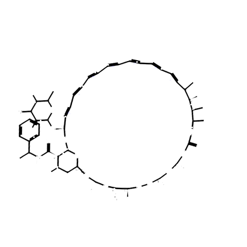 CC(NC(=O)[C@@H]1C(O)C[C@@]2(O)C[C@@H](O)C[C@@H](O)[C@H](O)CC[C@@H](O)C[C@@H](O)CC(=O)OC(C)C(C)[C@H](O)C(C)/C=C/C=C/C=C/C=C/C=C/C=C/C=C/[C@H](OC3OC(C)C(O)C(N)C3O)CC1O2)c1ccccc1